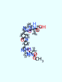 COC(=O)N[C@H](C(=O)N1CCC[C@H]1c1ncc(-c2ccc3c(c2)Oc2ccc(-c4cnc([C@@H]5CCCN5C(=O)[C@@H](NC(=O)CO)C5CC5)[nH]4)c4ccn-3c24)[nH]1)C1CC1